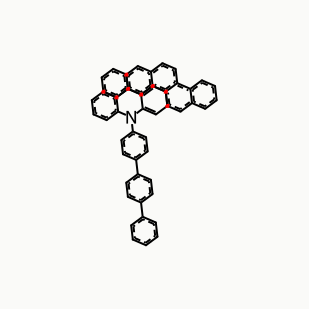 C1=C(c2ccccc2)C(N(c2ccc(-c3ccc(-c4ccccc4)cc3)cc2)c2ccccc2-c2ccc3ccc4c5ccccc5ccc4c3c2)=CCC1